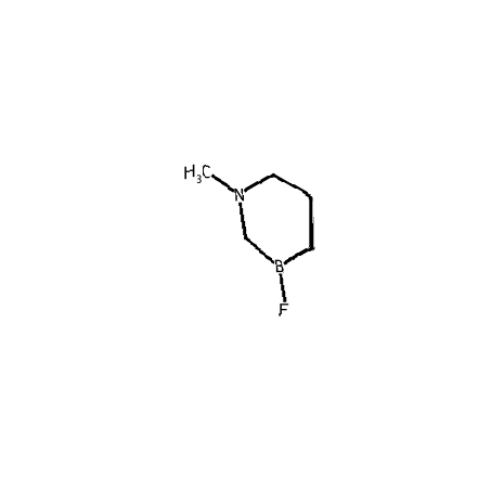 CN1CCCB(F)C1